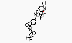 O=C(CC(F)(F)F)N1CC2(C1)OCc1cc(C3=NSC(c4ccc(Cl)nc4)(C(F)(F)F)C3)ccc12